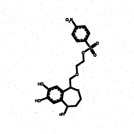 CCCC1CCSC(COCCOS(=O)(=O)c2ccc([N+](=O)[O-])cc2)c2cc(O)c(O)cc21